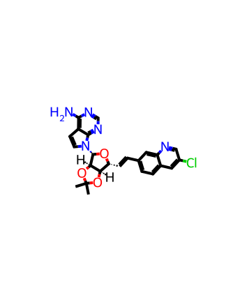 CC1(C)O[C@@H]2[C@H](O1)[C@@H](/C=C/c1ccc3cc(Cl)cnc3c1)O[C@H]2n1ccc2c(N)ncnc21